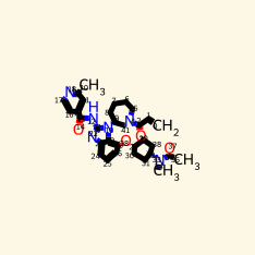 C=CC(=O)N1CCCC[C@@H](n2c(NC(=O)c3ccnc(C)c3)nc3cccc(O[C@H]4CC[C@H](N(C)C(C)=O)CC4)c32)C1